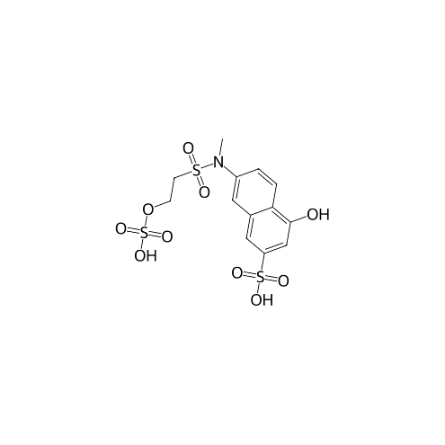 CN(c1ccc2c(O)cc(S(=O)(=O)O)cc2c1)S(=O)(=O)CCOS(=O)(=O)O